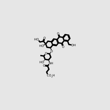 CC1O[C@@H](O[C@H]2C[C@](O)(C(=O)CO)Cc3cc4c(cc32)C(=O)c2c(CO)cccc2C4=O)C[C@@H](NC(=O)CCC(=O)O)[C@@H]1O